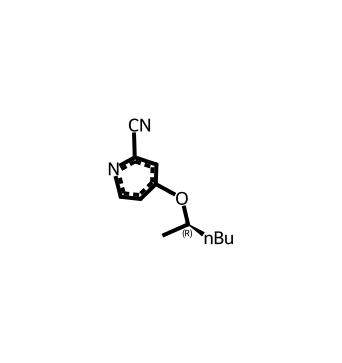 CCCC[C@@H](C)Oc1ccnc(C#N)c1